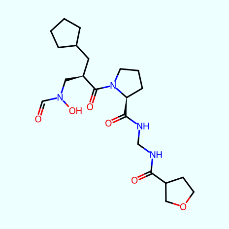 O=CN(O)C[C@@H](CC1CCCC1)C(=O)N1CCC[C@H]1C(=O)NCNC(=O)C1CCOC1